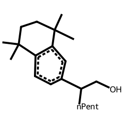 CCCCCC(CO)c1ccc2c(c1)C(C)(C)CCC2(C)C